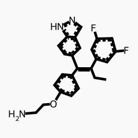 CCC(=C(c1ccc(OCCN)cc1)c1ccc2[nH]ncc2c1)c1cc(F)cc(F)c1